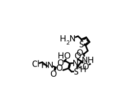 CO[C@@]1(NC(=O)Cc2ccc(CN)s2)C(=O)N2C(C(=O)O)=C(COC(=O)NCCCl)CS[C@H]21